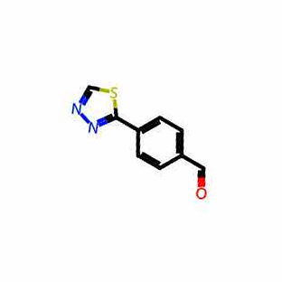 O=Cc1ccc(-c2nncs2)cc1